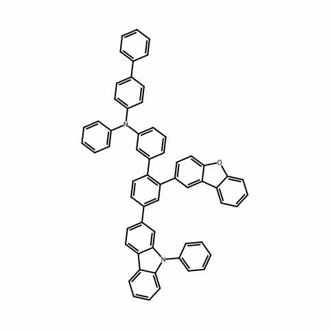 c1ccc(-c2ccc(N(c3ccccc3)c3cccc(-c4ccc(-c5ccc6c7ccccc7n(-c7ccccc7)c6c5)cc4-c4ccc5oc6ccccc6c5c4)c3)cc2)cc1